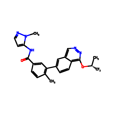 Cc1ccc(C(=O)Nc2ccnn2C)cc1-c1ccc2c(O[C@H](C)C(F)(F)F)nncc2c1